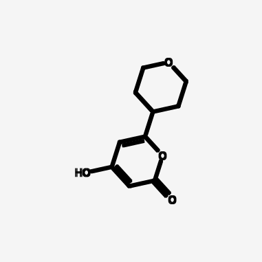 O=c1cc(O)cc(C2CCOCC2)o1